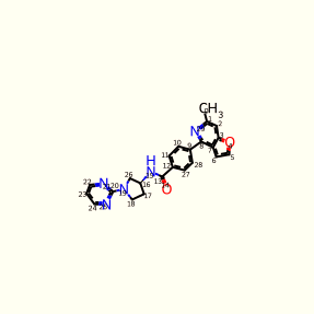 Cc1cc2occc2c(-c2ccc(C(=O)N[C@H]3CCN(c4ncccn4)C3)cc2)n1